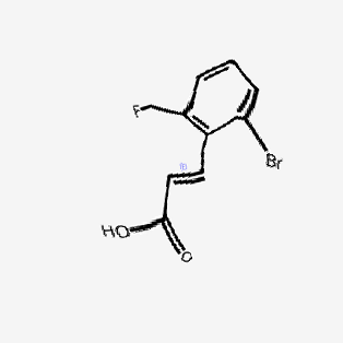 O=C(O)/C=C/c1c(F)cccc1Br